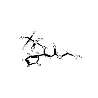 CCOC(=O)/C=C(\OS(=O)(=O)C(F)(F)F)c1cccs1